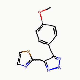 COc1ccc(C2=N[N]N=C2c2nccs2)cc1